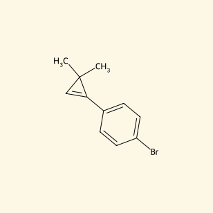 CC1(C)C=C1c1ccc(Br)cc1